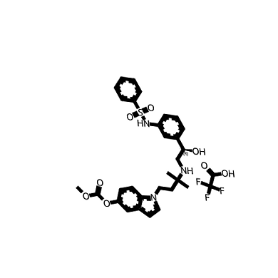 COC(=O)Oc1ccc2c(ccn2CCC(C)(C)NC[C@H](O)c2cccc(NS(=O)(=O)c3ccccc3)c2)c1.O=C(O)C(F)(F)F